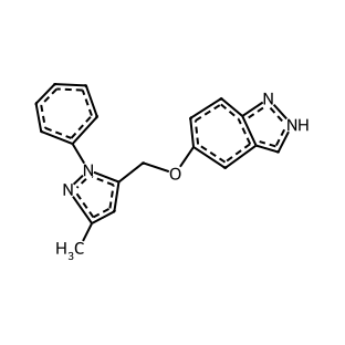 Cc1cc(COc2ccc3n[nH]cc3c2)n(-c2ccccc2)n1